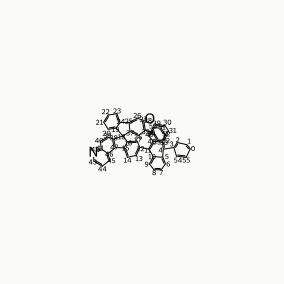 c1ccc(-c2c3ccccc3c(-c3ccc4c(c3)C3(c5ccccc5-c5cc6oc7ccccc7c6cc53)c3ccc5ncccc5c3-4)c3ccccc23)cc1